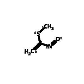 C=C(N=O)SC